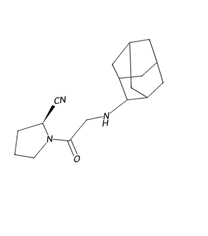 N#C[C@@H]1CCCN1C(=O)CNC1C2CC3CC(C2)CC1C3